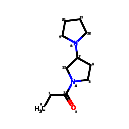 CCC(=O)N1CCC(N2CCCC2)C1